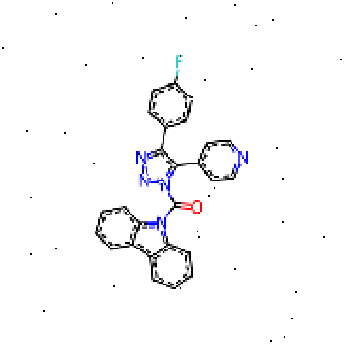 O=C(n1nnc(-c2ccc(F)cc2)c1-c1ccncc1)n1c2ccccc2c2ccccc21